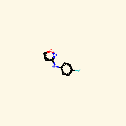 Fc1ccc(Nc2ccon2)cc1